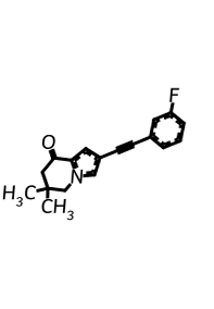 CC1(C)CC(=O)c2cc(C#Cc3cccc(F)c3)cn2C1